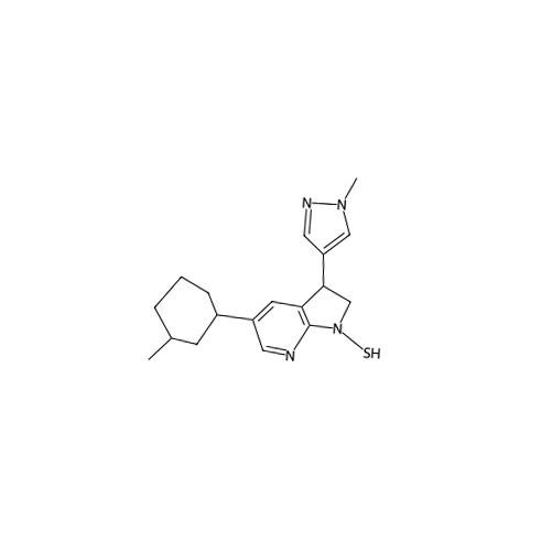 CC1CCCC(c2cnc3c(c2)C(c2cnn(C)c2)CN3S)C1